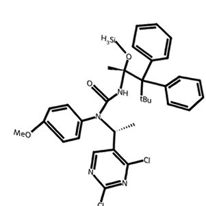 COc1ccc(N(C(=O)N[C@](C)(O[SiH3])C(c2ccccc2)(c2ccccc2)C(C)(C)C)[C@H](C)c2cnc(Cl)nc2Cl)cc1